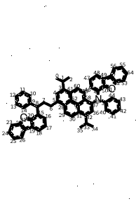 CC(C)c1cc(CCC(c2ccccc2)c2cccc3c2oc2ccccc23)c2ccc3c(C(C)C)cc(N(c4ccccc4)c4cccc5c4oc4ccccc45)c4ccc1c2c34